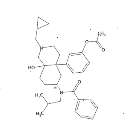 CC(=O)Oc1cccc(C23CCN(CC4CC4)CC2(O)CC[C@@H](N(CC(C)C)C(=O)c2ccccc2)C3)c1